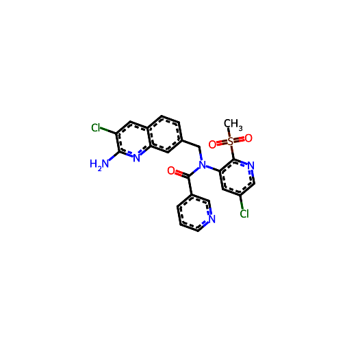 CS(=O)(=O)c1ncc(Cl)cc1N(Cc1ccc2cc(Cl)c(N)nc2c1)C(=O)c1cccnc1